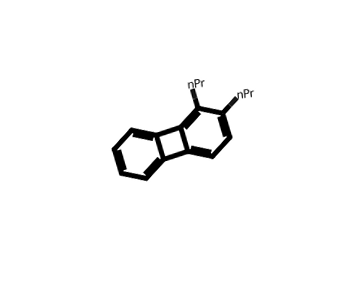 CCCc1ccc2c(c1CCC)-c1ccccc1-2